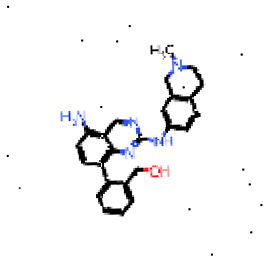 CN1CCc2ccc(Nc3ncc4c(N)ccc(-c5ccccc5CO)c4n3)cc2C1